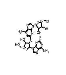 Nc1nc(F)nc2c1ncn2C1O[C@H](CO)C(O)C1Oc1nc(N)c2ncn([C@@H]3O[C@H](CO)C(O)C3O)c2n1